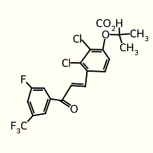 CC(C)(Oc1ccc(/C=C/C(=O)c2cc(F)cc(C(F)(F)F)c2)c(Cl)c1Cl)C(=O)O